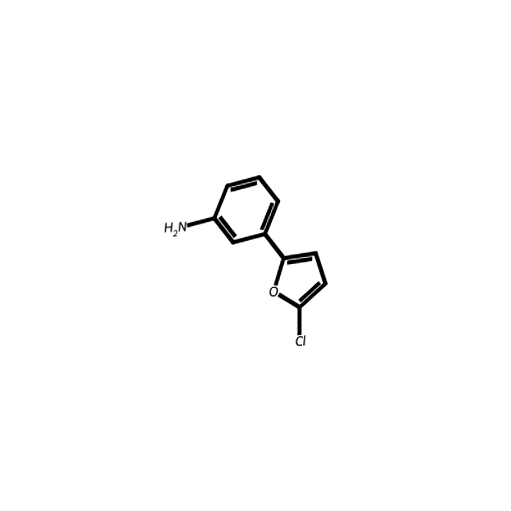 Nc1cccc(-c2ccc(Cl)o2)c1